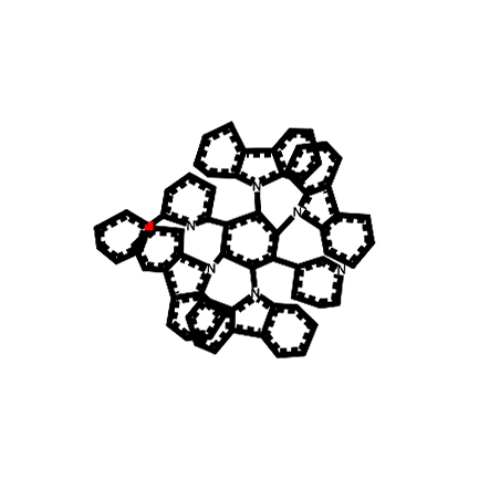 c1ccc(-c2cccc(-c3c(-n4c5ccccc5c5ccccc54)c(-n4c5ccccc5c5ccccc54)c(-c4cccnc4)c(-n4c5ccccc5c5ccccc54)c3-n3c4ccccc4c4ccccc43)n2)cc1